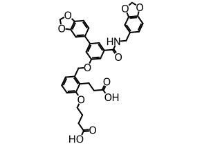 O=C(O)CCCOc1cccc(COc2cc(C(=O)NCc3ccc4c(c3)OCO4)cc(-c3ccc4c(c3)OCO4)c2)c1CCC(=O)O